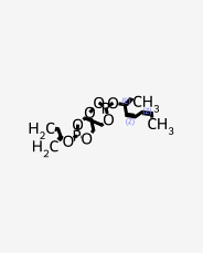 C=CC(=C)OP1OCC2(CO1)COP(OC(/C=C\C=C/C)=C/C)OO2